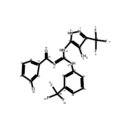 Cc1c(C(F)(F)F)n[nH]c1N/C(=N\C(=O)c1cccc(Cl)c1)Nc1cccc(C(F)(F)F)c1